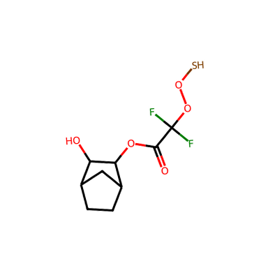 O=C(OC1C2CCC(C2)C1O)C(F)(F)OOS